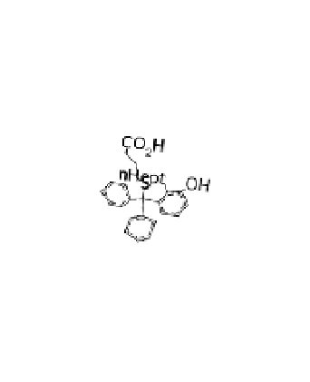 CCCCCCCc1c(O)cccc1C(SCCCC(=O)O)(c1ccccc1)c1ccccc1